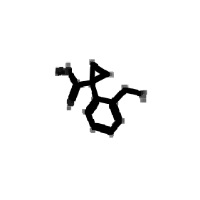 COC(=O)C1(c2ccccc2CCl)CC1